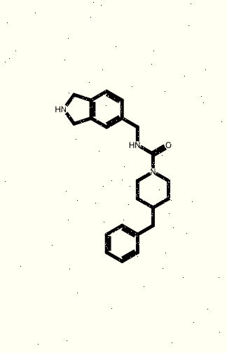 O=C(NCc1ccc2c(c1)CNC2)N1CCC(Cc2ccccc2)CC1